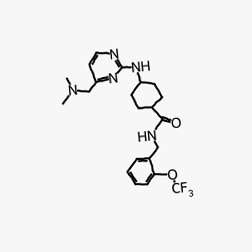 CN(C)Cc1ccnc(NC2CCC(C(=O)NCc3ccccc3OC(F)(F)F)CC2)n1